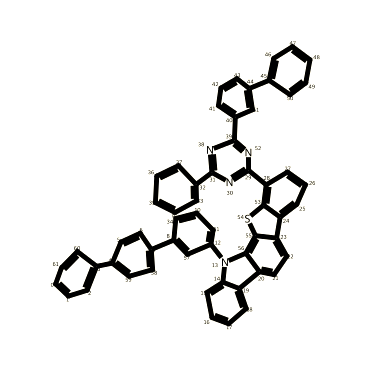 c1ccc(-c2ccc(-c3cccc(-n4c5ccccc5c5ccc6c7cccc(-c8nc(-c9ccccc9)nc(-c9cccc(-c%10ccccc%10)c9)n8)c7sc6c54)c3)cc2)cc1